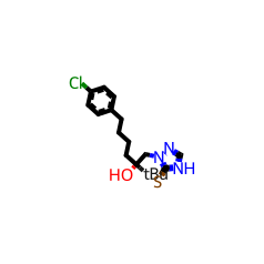 CC(C)(C)C(O)(CCCCc1ccc(Cl)cc1)Cn1nc[nH]c1=S